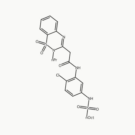 CCCCCCCCS(=O)(=O)Nc1ccc(Cl)c(NC(=O)CC2=Nc3ccccc3S(=O)(=O)N2CCC)c1